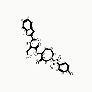 CC(C)CC(NC(=O)c1cc2ccccc2s1)C(=O)N[C@H]1CCCN(S(=O)(=O)c2ccc(Cl)cc2)CC1=O